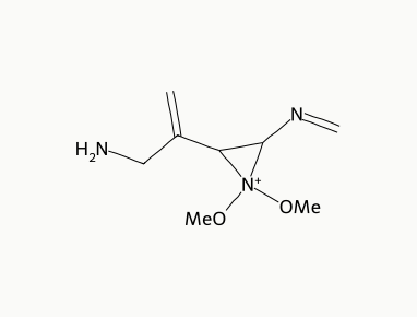 C=NC1C(C(=C)CN)[N+]1(OC)OC